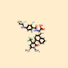 CC[C@H](F)Nc1cc(F)c(C(=O)N[C@@H](Cc2ccc(-c3c(C(F)(F)F)cc(C)n(C)c3=O)c3ccccc23)C(=O)O)c(F)c1